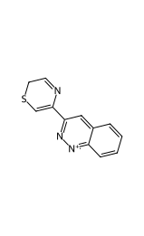 C1=NC(C2=N[N+]=c3ccccc3=C2)=CSC1